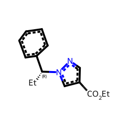 CCOC(=O)c1cnn([C@H](CC)c2ccccc2)c1